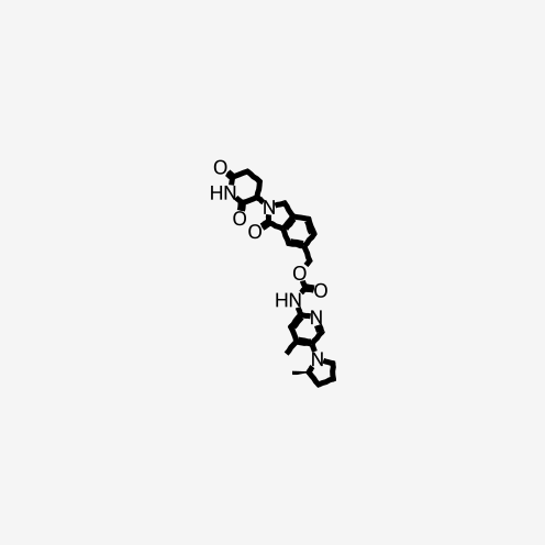 Cc1cc(NC(=O)OCc2ccc3c(c2)C(=O)N(C2CCC(=O)NC2=O)C3)ncc1N1CCC[C@H]1C